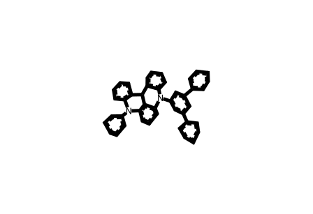 c1ccc(-c2cc(-c3ccccc3)cc(N3c4ccccc4C4c5ccccc5N(c5ccccc5)c5cccc3c54)c2)cc1